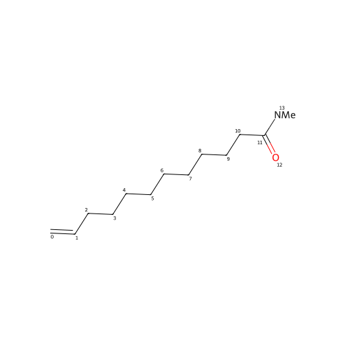 C=CCCCCCCCCCC(=O)NC